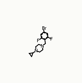 Fc1cc(Br)cc(F)c1CN1CCN(C2CC2)CC1